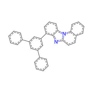 c1ccc(-c2cc(-c3ccccc3)cc(-c3cccc4c3nc3ccc5ccccc5n34)c2)cc1